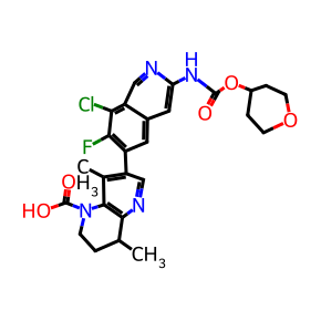 Cc1c(-c2cc3cc(NC(=O)OC4CCOCC4)ncc3c(Cl)c2F)cnc2c1N(C(=O)O)CCC2C